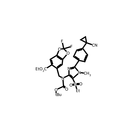 CCOC(=O)c1cc2c(cc1CN(C(=O)OC(C)(C)C)c1nc(-c3ccc(C4(C#N)CC4)cc3)n(C)c1S(=O)(=O)CC)OC(F)(F)O2